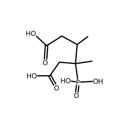 CC(CC(=O)O)C(C)(CC(=O)O)P(=O)(O)O